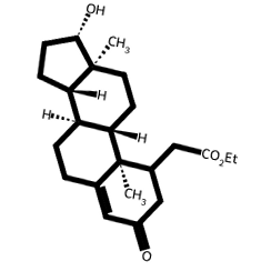 CCOC(=O)CC1CC(=O)C=C2CC[C@H]3[C@@H]4CC[C@H](O)[C@@]4(C)CC[C@@H]3[C@]21C